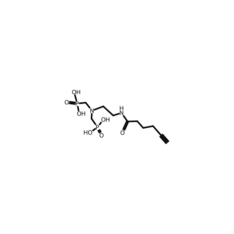 C#CCCCC(=O)NCCN(CP(=O)(O)O)CP(=O)(O)O